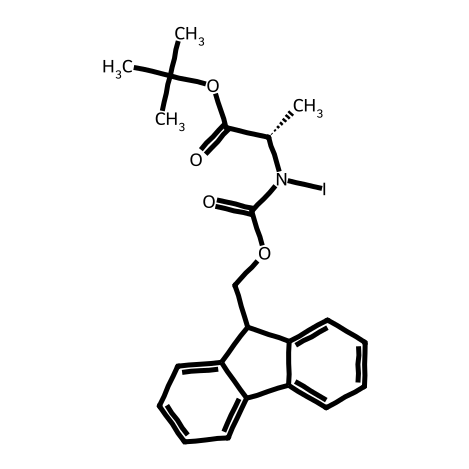 C[C@@H](C(=O)OC(C)(C)C)N(I)C(=O)OCC1c2ccccc2-c2ccccc21